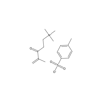 C=C(C)C(=O)CC[N+](C)(C)C.Cc1ccc(S(=O)(=O)[O-])cc1